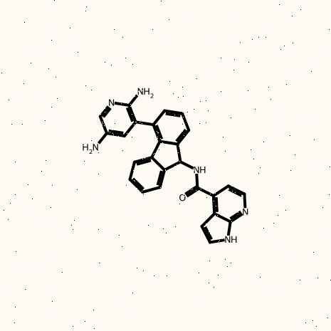 Nc1cnc(N)c(-c2cccc3c2-c2ccccc2C3NC(=O)c2ccnc3[nH]ccc23)c1